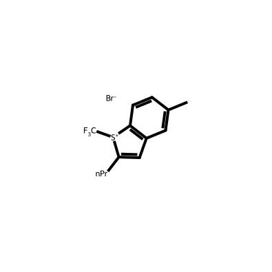 CCCc1cc2cc(C)ccc2[s+]1C(F)(F)F.[Br-]